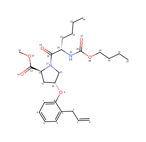 C=CCc1ccccc1O[C@@H]1C[C@@H](C(=O)OC)N(C(=O)[C@H](CCCC)NC(=O)OCCCC)C1